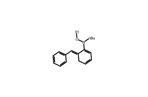 CCCCN(OCC)C1=CC=CCC1=Cc1ccccc1